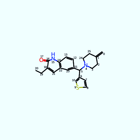 C=C1CCN(C(c2ccsc2)c2ccc3[nH]c(=O)c(CC)cc3c2)CC1